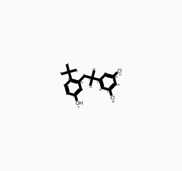 CC(C)(C)c1ccc(O)cc1CC(C)(C)c1cc(Cl)cc(Cl)c1